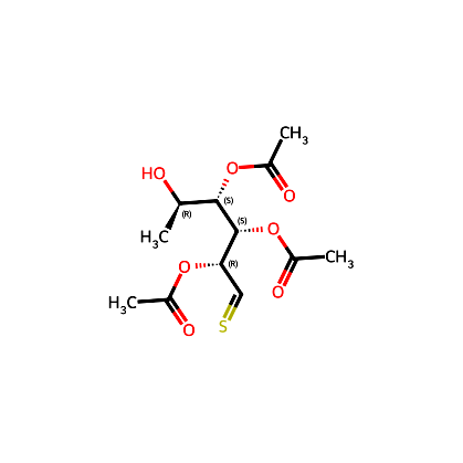 CC(=O)O[C@H]([C@H](OC(C)=O)[C@H](C=S)OC(C)=O)[C@@H](C)O